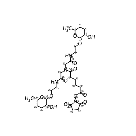 C[C@H]1CC[C@H](O)[C@H](OCCNC(=O)CN(CC(=O)NCCO[C@@H]2O[C@@H](C)CC[C@@H]2O)C(=O)CCCCC(=O)ON2C(=O)CCC2=O)O1